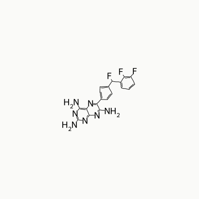 Nc1nc(N)c2nc(-c3ccc(C(F)c4cccc(F)c4F)cc3)c(N)nc2n1